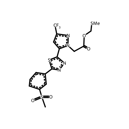 CSCOC(=O)Cn1nc(C(F)(F)F)cc1-c1nnc(-c2cccc(S(C)(=O)=O)c2)s1